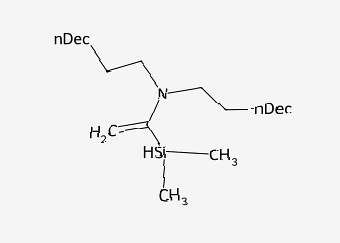 C=C(N(CCCCCCCCCCCC)CCCCCCCCCCCC)[SiH](C)C